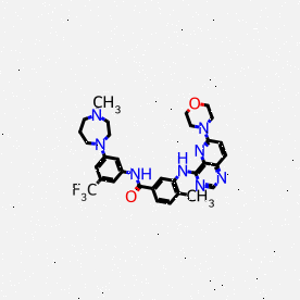 Cc1ccc(C(=O)Nc2cc(N3CCCN(C)CC3)cc(C(F)(F)F)c2)cc1Nc1ncnc2ccc(N3CCOCC3)nc12